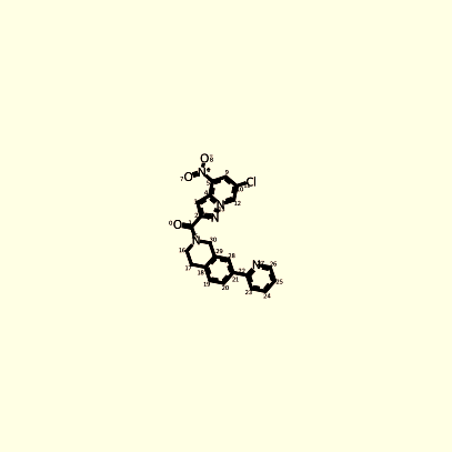 O=C(c1cc2c([N+](=O)[O-])cc(Cl)cn2n1)N1CCc2ccc(-c3ccccn3)cc2C1